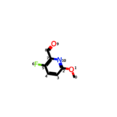 COc1ccc(F)c(C=O)n1